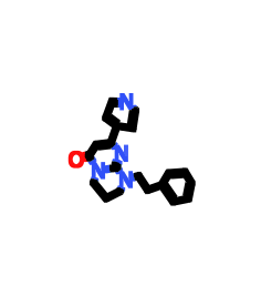 O=c1cc(-c2ccncc2)nc2n1CCCN2CCc1ccccc1